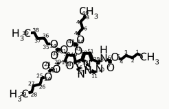 CCCCCOC(=O)Nc1ncnn2c([C@]3(C#N)O[C@H](COC(=O)OCCCCC)[C@@H](OC(=O)OCCCCC)[C@H]3OC(=O)OCCCCC)ccc12